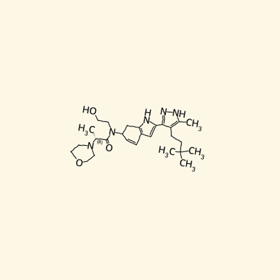 Cc1[nH]nc(-c2cc3c([nH]2)CC(N(CCO)C(=O)[C@@H](C)N2CCOCC2)C=C3)c1CCC(C)(C)C